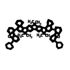 CC1(C)c2cc3c(cc2-c2cc4c(cc21)-c1c(cc(-c2cccc5oc6c(C7CCCCC7)cccc6c25)c2ccccc12)C4(C)C)C(C)(C)c1cc(-c2cccc4oc5c(C6CCCCC6)cccc5c24)c2ccccc2c1-3